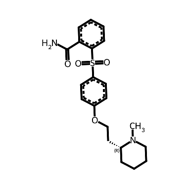 CN1CCCC[C@@H]1CCOc1ccc(S(=O)(=O)c2ccccc2C(N)=O)cc1